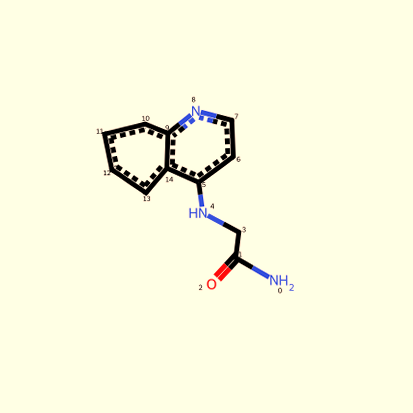 NC(=O)CNc1ccnc2ccccc12